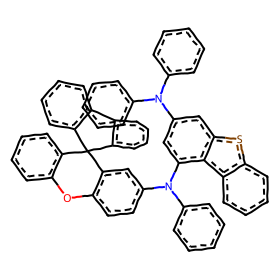 c1ccc(N(c2ccccc2)c2cc(N(c3ccccc3)c3ccc4c(c3)C3(c5ccccc5O4)c4ccccc4-c4ccccc43)c3c(c2)sc2ccccc23)cc1